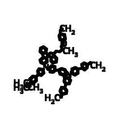 C=Cc1ccc(OCC(C)CCCCC2(c3ccccc3)c3ccccc3-c3ccc(N(c4ccc(-c5ccc(C(C)(C)C)cc5)cc4)c4ccc(-c5ccc6c(c5)c5cc(-c7ccc(C=C)cc7)ccc5n6-c5ccc(-c6ccc(C=C)cc6)cc5)cc4)cc32)cc1